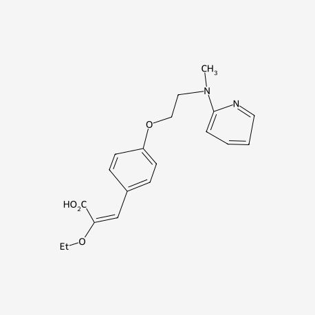 CCO/C(=C/c1ccc(OCCN(C)c2ccccn2)cc1)C(=O)O